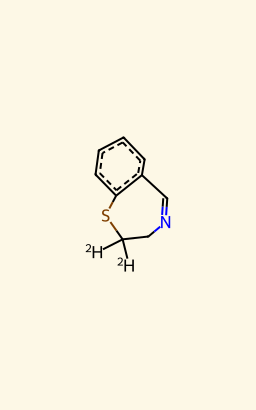 [2H]C1([2H])CN=Cc2ccccc2S1